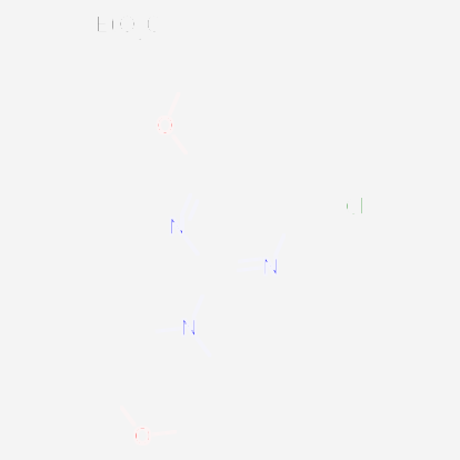 CCOC(=O)COc1cc(Cl)nc(N2CCOCC2)n1